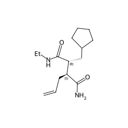 C=CC[C@H](C(N)=O)[C@@H](CC1CCCC1)C(=O)NCC